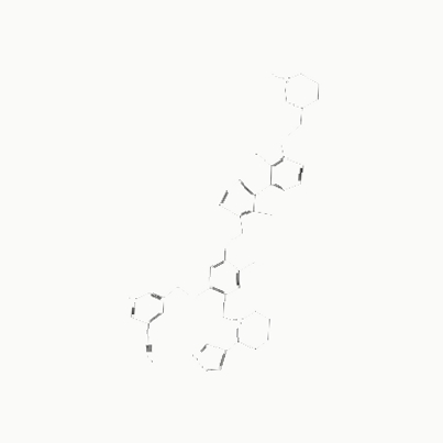 Cc1c(COc2cc(OCc3cncc(C#N)c3)c(CN3CCCCC3c3cn[nH]c3)cc2Cl)cccc1-c1cccc(OCC2CCCN(C)C2)c1Cl